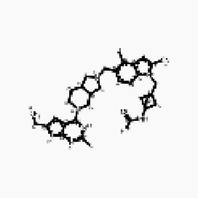 CCC(=O)NC12CC(Cn3c(C#N)cc4c(C)c(CN5CC6CCN(c7nc(C)nc8sc(CC(F)(F)F)cc78)CC6C5)ccc43)(C1)C2